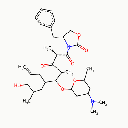 C=CCC(CC(C)CO)C(OC1[CH]C(N(C)C)CC(C)O1)C(C)C(=O)[C@@H](C)C(=O)N1C(=O)OC[C@H]1Cc1ccccc1